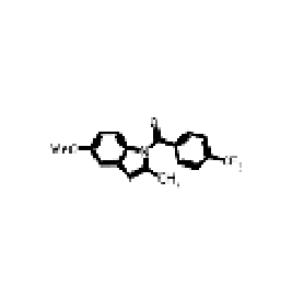 COc1ccc2c([c]c(C)n2C(=O)c2ccc(C(F)(F)F)cc2)c1